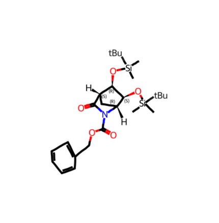 CC(C)(C)[Si](C)(C)O[C@@H]1[C@H](O[Si](C)(C)C(C)(C)C)[C@@H]2C[C@H]1N(C(=O)OCc1ccccc1)C2=O